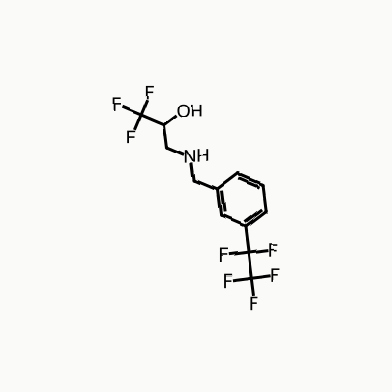 OC(CNCc1cccc(C(F)(F)C(F)(F)F)c1)C(F)(F)F